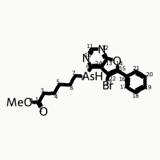 COC(=O)CCCCC[AsH]c1ncnc2oc(-c3ccccc3)c(Br)c12